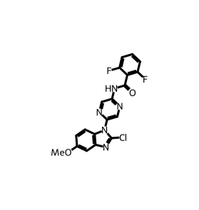 COc1ccc2c(c1)nc(Cl)n2-c1cnc(NC(=O)c2c(F)cccc2F)cn1